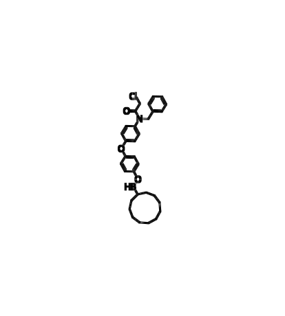 O=C(CCl)N(Cc1ccccc1)c1ccc(Oc2ccc(OBC3CCCCCCCCCC3)cc2)cc1